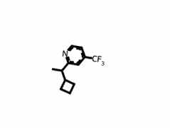 CC(c1cc(C(F)(F)F)ccn1)C1CCC1